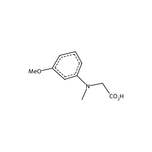 COc1cccc(N(C)CC(=O)O)c1